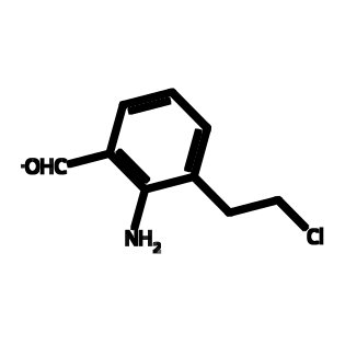 Nc1c([C]=O)cccc1CCCl